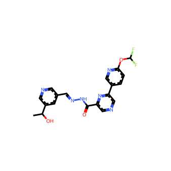 CC(O)c1cncc(/C=N/NC(=O)c2cncc(-c3ccc(OC(F)F)nc3)n2)c1